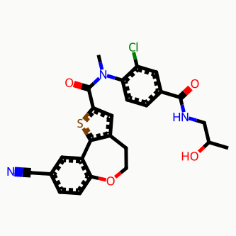 CC(O)CNC(=O)c1ccc(N(C)C(=O)c2cc3c(s2)-c2cc(C#N)ccc2OCC3)c(Cl)c1